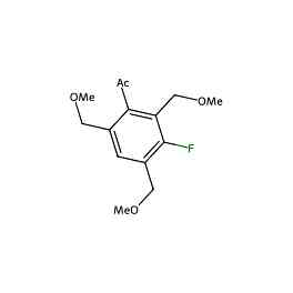 COCc1cc(COC)c(C(C)=O)c(COC)c1F